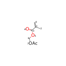 C=C(C)C(=O)OCOC(C)=O